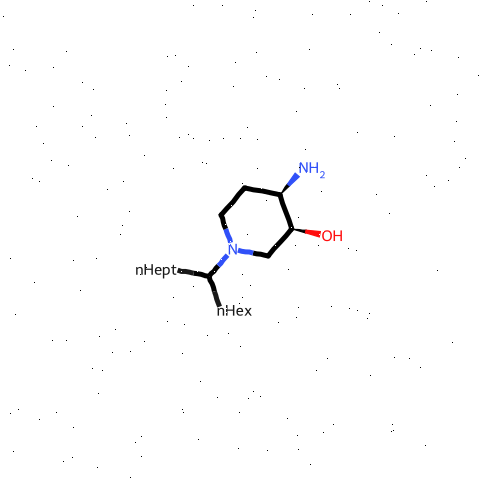 CCCCCCCC(CCCCCC)N1CC[C@@H](N)[C@@H](O)C1